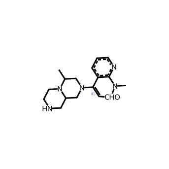 CC1CN(/C(=C/C=O)c2cccnc2N(C)C)CC2CNCCN12